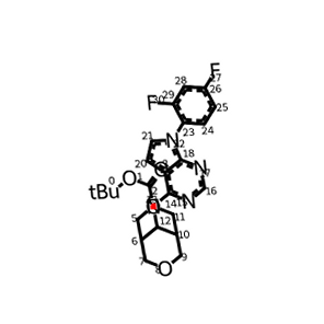 CC(C)(C)OC(=O)N1CC2COCC(C1)C2Oc1ncnc2c1ccn2-c1ccc(F)cc1F